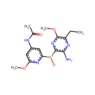 CCc1nc(N)c([S+]([O-])c2cc(NC(C)=O)cc(OC)n2)nc1OC